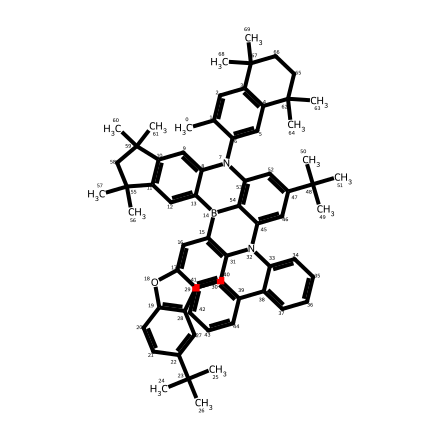 Cc1cc2c(cc1N1c3cc4c(cc3B3c5cc6oc7ccc(C(C)(C)C)cc7c6cc5N(c5ccccc5-c5ccccc5)c5cc(C(C)(C)C)cc1c53)C(C)(C)CC4(C)C)C(C)(C)CCC2(C)C